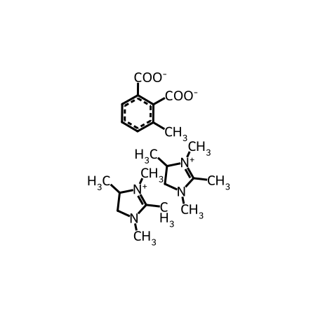 CC1=[N+](C)C(C)CN1C.CC1=[N+](C)C(C)CN1C.Cc1cccc(C(=O)[O-])c1C(=O)[O-]